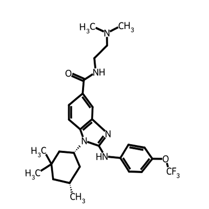 C[C@H]1C[C@@H](n2c(Nc3ccc(OC(F)(F)F)cc3)nc3cc(C(=O)NCCN(C)C)ccc32)CC(C)(C)C1